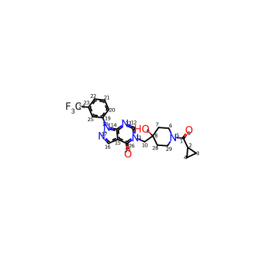 O=C(C1CC1)N1CCC(O)(Cn2cnc3c(cnn3-c3cccc(C(F)(F)F)c3)c2=O)CC1